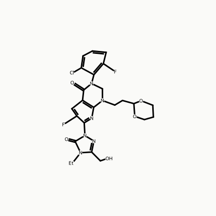 CCn1c(CO)nn(-c2nc3c(cc2F)C(=O)N(c2c(F)cccc2Cl)CN3CCC2OCCCO2)c1=O